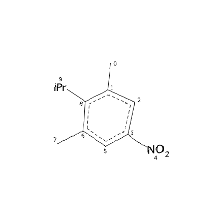 Cc1cc([N+](=O)[O-])cc(C)c1C(C)C